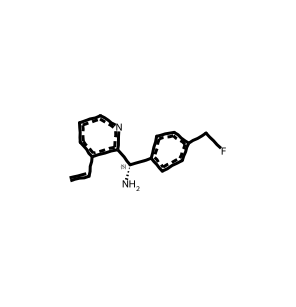 C=Cc1cccnc1[C@@H](N)c1ccc(CF)cc1